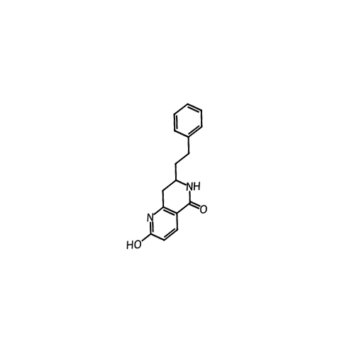 O=C1NC(CCc2ccccc2)Cc2nc(O)ccc21